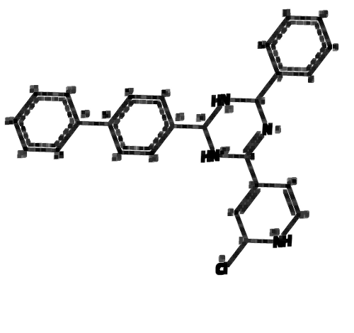 ClC1C=C(C2=NC(c3ccccc3)NC(c3ccc(-c4ccccc4)cc3)N2)C=CN1